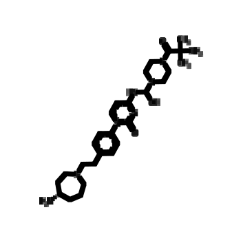 CC(C)(N)C(=O)N1CCN(C(O)Nc2ccn(-c3ccc(CCN4CCC[C@H](N)CC4)cc3)c(=O)n2)CC1